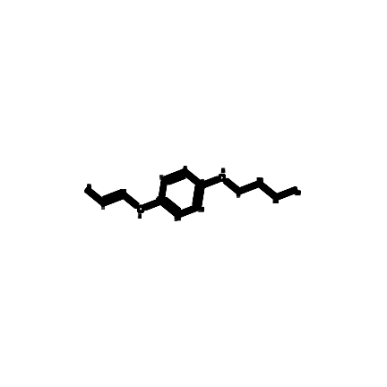 CC=COc1ccc(OCCCC)cc1